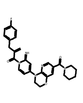 C=C(Cc1ccc(F)cc1)C(=O)n1ccc(N2CCOc3cc(C(=O)N4CCCCC4)cnc32)cc1=N